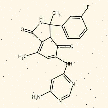 CC1=C2C(=O)NC(C)(c3cccc(F)c3)C2C(=O)C(Nc2cc(N)ncn2)=C1